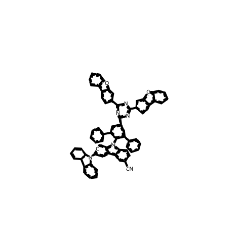 N#Cc1ccc2c(c1)c1cc(N3c4ccccc4C4C=CC=CC43)ccc1n2-c1c(-c2ccccc2)cc(-c2nc(-c3ccc4c(c3)oc3ccccc34)nc(-c3ccc4c(c3)oc3ccccc34)n2)cc1-c1ccccc1